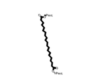 CCCCCOC(=O)CCCCCCCCCCCCCCCCCCCC(=O)OCCCCC